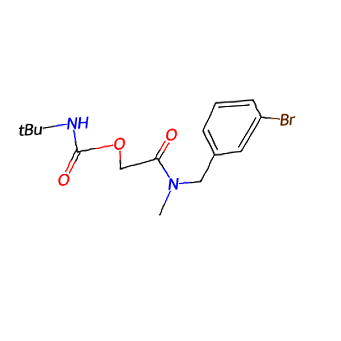 CN(Cc1cccc(Br)c1)C(=O)COC(=O)NC(C)(C)C